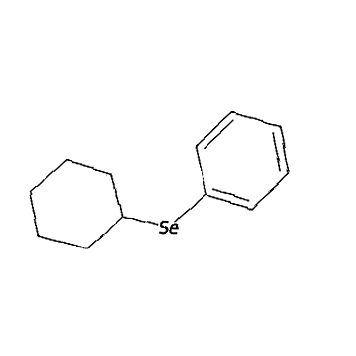 c1ccc([Se]C2CCCCC2)cc1